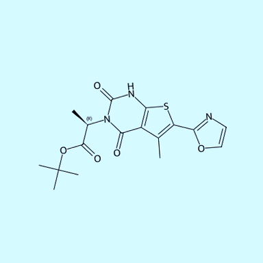 Cc1c(-c2ncco2)sc2[nH]c(=O)n([C@H](C)C(=O)OC(C)(C)C)c(=O)c12